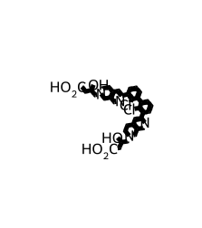 O=C(O)CC(O)CN1CCc2cc(-c3cccc(-c4cccc(-c5cc6c(cn5)CN(CC(O)CC(=O)O)CC6)c4Cl)c3Cl)ncc2C1